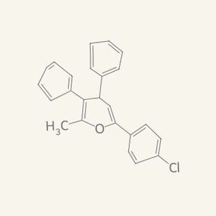 CC1=C(c2ccccc2)C(c2ccccc2)C=C(c2ccc(Cl)cc2)O1